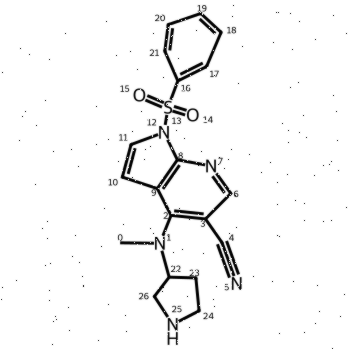 CN(c1c(C#N)cnc2c1ccn2S(=O)(=O)c1ccccc1)C1CCNC1